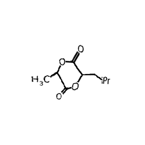 CC(C)CC1OC(=O)C(C)OC1=O